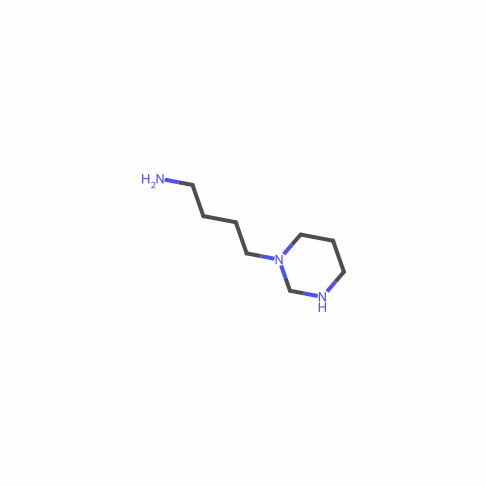 NCCCCN1CCCNC1